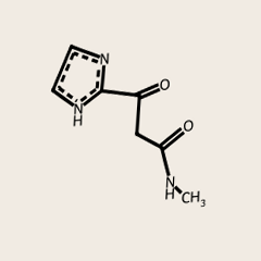 CNC(=O)CC(=O)c1ncc[nH]1